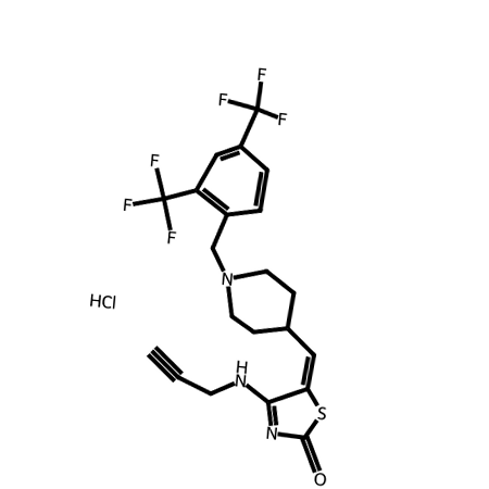 C#CCNC1=NC(=O)SC1=CC1CCN(Cc2ccc(C(F)(F)F)cc2C(F)(F)F)CC1.Cl